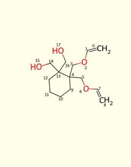 C=COCC1(COC=C)CCCCC1(CO)CO